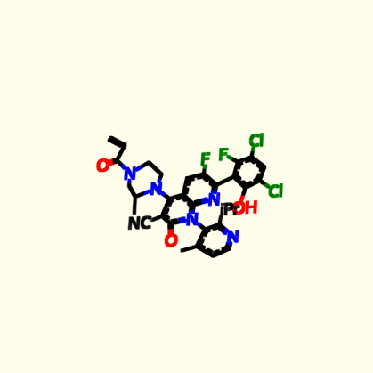 C=CC(=O)N1CCN(c2c(C#N)c(=O)n(-c3c(C)ccnc3C(C)C)c3nc(-c4c(O)c(Cl)cc(Cl)c4F)c(F)cc23)C(C)C1